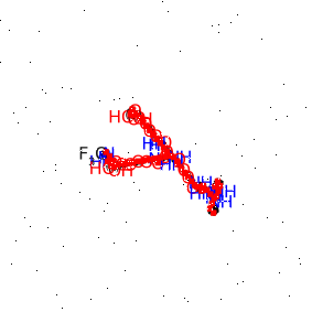 O=C(CCOCC(COCCC(=O)NCCOCCOCCOCCOC[C@H]1OCC[C@@H](O)[C@H]1O)NCC(=O)NCCOCCOCCNC(=O)c1ccc(CNc2nc(NCC3CCCCC3)nc(NC3CC4CCC3C4)n2)cc1)NCCOCCOCCOCCOC[C@H]1OC[C@H](Nc2cncc(C(F)(F)F)n2)[C@@H](O)[C@H]1O